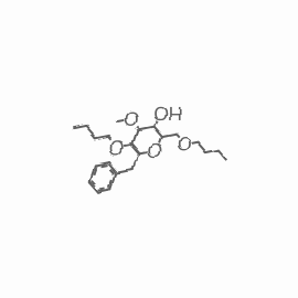 CCCCOCC1O[C@@H](Cc2ccccc2)C(OCCCC)[C@@H](OC)[C@H]1O